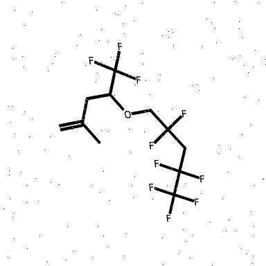 C=C(C)CC(OCC(F)(F)CC(F)(F)C(F)(F)F)C(F)(F)F